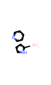 B.Cc1ccc[nH]1.c1ccncc1